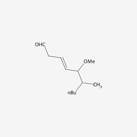 CCCCC(C)C(C=CCC=O)OC